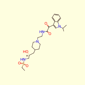 CCS(=O)(=O)NC[C@H](O)CC1CCN(CCNC(=O)C(=O)c2cn(C(C)C)c3ccccc23)CC1